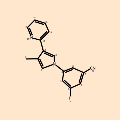 Cc1cn(-c2cc(F)cc(C#N)c2)cc1-c1ccccn1